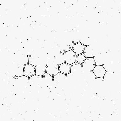 Cc1cc(C)cc(NC(=O)Nc2ccc(-c3cc(CN4CCOCC4)n4ncnc(N)c34)cc2)c1